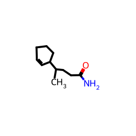 CC(CCC(N)=O)C1C=CCCC1